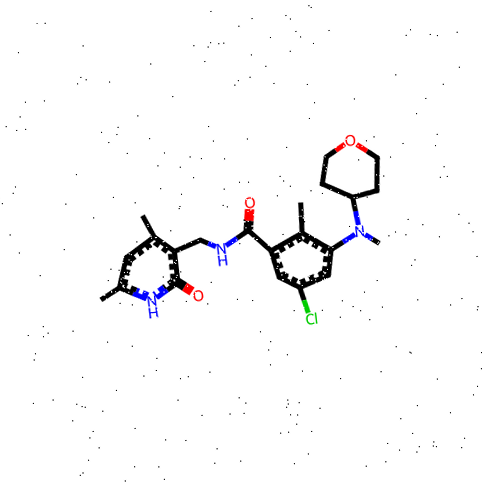 Cc1cc(C)c(CNC(=O)c2cc(Cl)cc(N(C)C3CCOCC3)c2C)c(=O)[nH]1